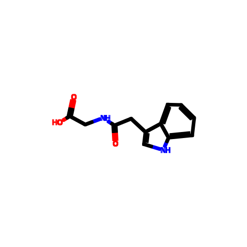 O=C(O)CNC(=O)Cc1c[nH]c2ccccc12